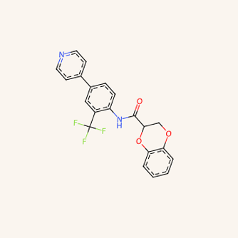 O=C(Nc1ccc(-c2ccncc2)cc1C(F)(F)F)C1COc2ccccc2O1